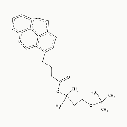 CC(C)(C)OCCC(C)(C)OC(=O)CCCc1ccc2ccc3cccc4ccc1c2c34